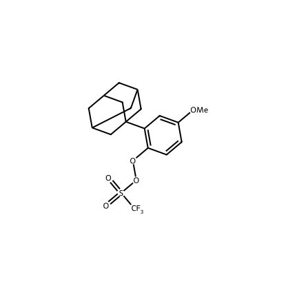 COc1ccc(OOS(=O)(=O)C(F)(F)F)c(C23CC4CC(CC(C4)C2)C3)c1